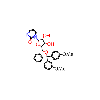 COc1ccc(C(OC[C@H]2O[C@@H](n3cccnc3=O)[C@H](O)[C@@H]2O)(c2ccccc2)c2cccc(OC)c2)cc1